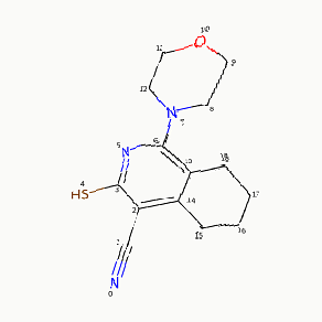 N#Cc1c(S)nc(N2CCOCC2)c2c1CCCC2